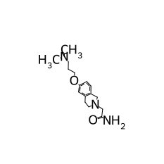 CN(C)CCCOc1ccc2c(c1)CCN(CC(N)=O)C2